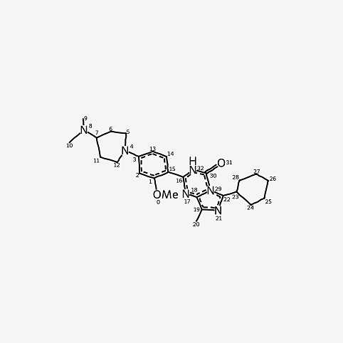 COc1cc(N2CCC(N(C)C)CC2)ccc1-c1nc2c(C)nc(C3CCCCC3)n2c(=O)[nH]1